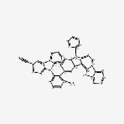 N#Cc1ccc2c(c1)c1ccccc1n2-c1cccc(N)c1C1=CC2c3c(ccc4c3sc3ccccc34)N(c3ccccc3)C2C=C1